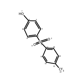 O=S(=O)(c1ccc(O)cc1)c1ccc(C(F)(F)F)cc1